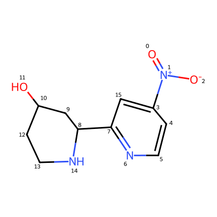 O=[N+]([O-])c1ccnc(C2CC(O)CCN2)c1